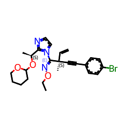 C=C[C@@](C)(C#Cc1ccc(Br)cc1)/C(=N\OCC)n1ccnc1[C@H](C)OC1CCCCO1